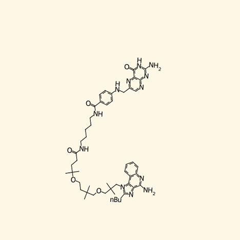 CCCCc1nc2c(N)nc3ccccc3c2n1CC(C)(C)COCC(C)(C)CCOC(C)(C)CCC(=O)NCCCCCNC(=O)c1ccc(NCc2cnc3nc(N)[nH]c(=O)c3n2)cc1